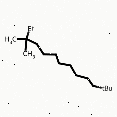 CCC(C)(C)CCCCCCC[CH]C(C)(C)C